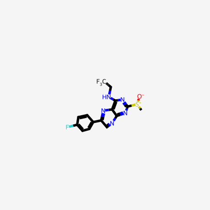 C[S+]([O-])c1nc(NCC(F)(F)F)c2nc(-c3ccc(F)cc3)cnc2n1